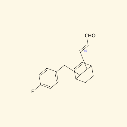 O=C/C=C/C1C2C=CC(CC2)C1Cc1ccc(F)cc1